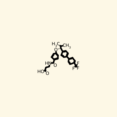 CC(C)[C@@H](Oc1ccc(C(=O)NCCC(=O)O)cc1)c1ccc(-c2ccc(C(F)(F)F)cc2)cc1